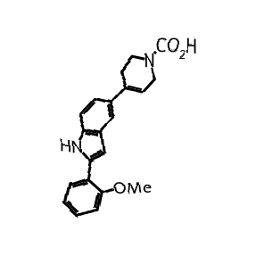 COc1ccccc1-c1cc2cc(C3=CCN(C(=O)O)CC3)ccc2[nH]1